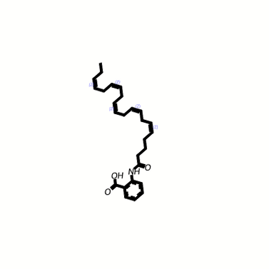 CC/C=C\C/C=C\C/C=C\C/C=C\C/C=C\CCCC(=O)Nc1ccccc1C(=O)O